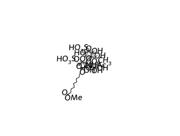 COC(=O)CCCCCCCCO[C@@H]1O[C@H](COS(=O)(=O)O)[C@@H](O[C@@H]2O[C@H](CO)[C@H](O)[C@H](OS(=O)(=O)O)[C@H]2O)[C@H](O[C@@H]2O[C@@H](C)[C@@H](O)[C@@H](O)[C@@H]2O)[C@]1(O)NC(C)=O